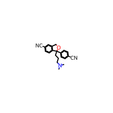 CN(C)CCCC1(c2ccc(C#N)cc2)OCc2cc(C#N)ccc21